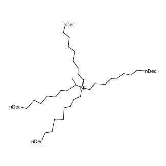 CCCCCCCCCCCCCCCCCC[N+](CCCCCCCCCCCCCCCCCC)(CCCCCCCCCCCCCCCCCC)C(C)CCCCCCCCCCCCCCCCC